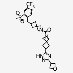 CS(=O)(=O)c1cc(C(F)(F)F)ccc1CC1CC2(C1)CN(C(=O)N1CC3(CC(c4nc(C5COC5)n[nH]4)C3)C1)C2